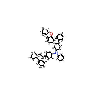 c1ccc(N(c2ccc(-c3ccccc3-c3cccc4c3oc3ccccc34)cc2)c2ccc(-c3cc4ccccc4c4ccccc34)cc2)cc1